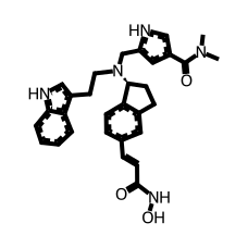 CN(C)C(=O)c1c[nH]c(CN(CCc2c[nH]c3ccccc23)[C@@H]2CCc3cc(/C=C/C(=O)NO)ccc32)c1